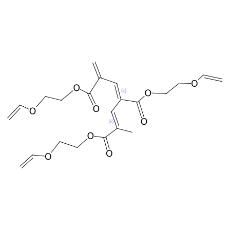 C=COCCOC(=O)C(=C)/C=C(\C=C(/C)C(=O)OCCOC=C)C(=O)OCCOC=C